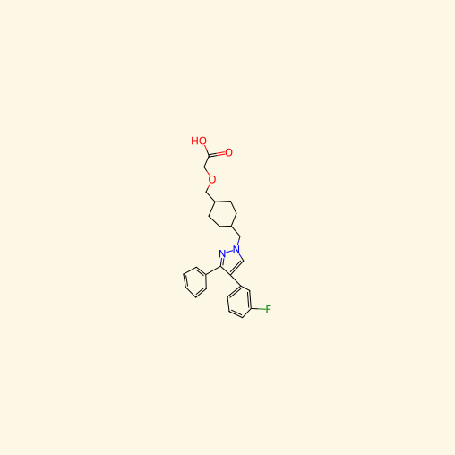 O=C(O)COCC1CCC(Cn2cc(-c3cccc(F)c3)c(-c3ccccc3)n2)CC1